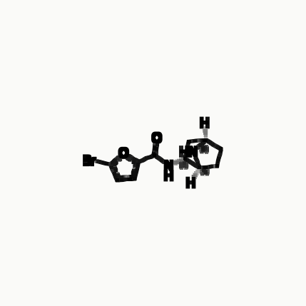 O=C(N[C@@H]1C[C@H]2CC[C@@H]1N2)c1ccc(Br)o1